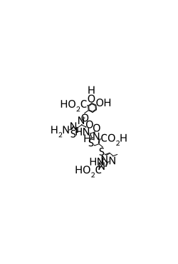 CC1=NC2=CN(C(=O)O)NN2C(SCC2=C(C(=O)O)N3C(=O)[C@@H](NC(=O)/C(=N\OCc4ccc(O)c(O)c4C(=O)O)c4csc(N)n4)[C@H]3SC2)=C1